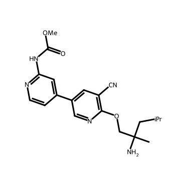 COC(=O)Nc1cc(-c2cnc(OCC(C)(N)CC(C)C)c(C#N)c2)ccn1